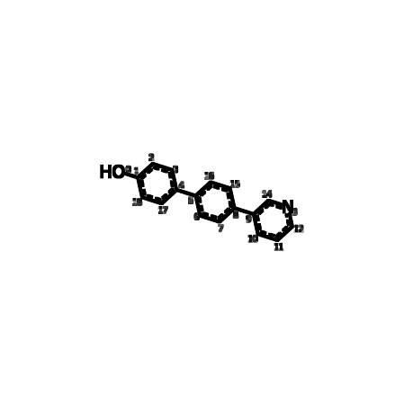 Oc1ccc(-c2ccc(-c3cccnc3)cc2)cc1